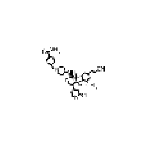 Cc1cc(C=CC#N)cc(C)c1Oc1nc(NC2CCN(Cc3ccc(C(N)=O)cc3)CC2)ncc1-c1ccnc(Cl)c1